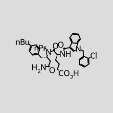 CCCCc1ccc(C[C@@H](CC(N)=O)N(CCC)C(=O)[C@H](CCCC(=O)O)NC(=O)c2cn(Cc3ccccc3Cl)c3ccccc23)cc1